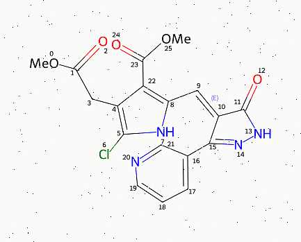 COC(=O)Cc1c(Cl)[nH]c(/C=C2/C(=O)NN=C2c2cccnc2)c1C(=O)OC